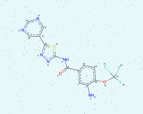 Nc1cc(C(=O)Nc2nnc(-c3cncnc3)s2)ccc1OC(F)(F)F